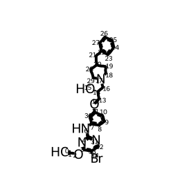 C#COc1nc(Nc2cccc(OC[C@H](O)CN3CCC(Cc4ccccc4)CC3)c2)ncc1Br